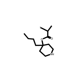 CCCCC1(OC(=O)C(C)I)CCNCC1